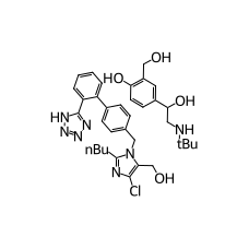 CC(C)(C)NCC(O)c1ccc(O)c(CO)c1.CCCCc1nc(Cl)c(CO)n1Cc1ccc(-c2ccccc2-c2nnn[nH]2)cc1